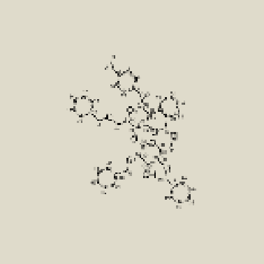 COc1ccc(O[C@@H]2O[C@H](COCc3ccccc3)[C@@H](O[C@@H]3O[C@H](CO)[C@@H](OCc4ccccc4)[C@H](O)[C@@H]3OCc3ccccc3)[C@H](OCc3ccccc3)[C@H]2N)cc1